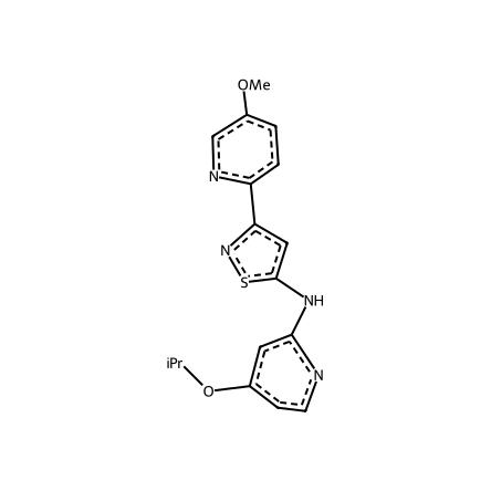 COc1ccc(-c2cc(Nc3cc(OC(C)C)ccn3)sn2)nc1